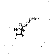 CCCCCCCCOC(=O)C(O)(F)C(F)F